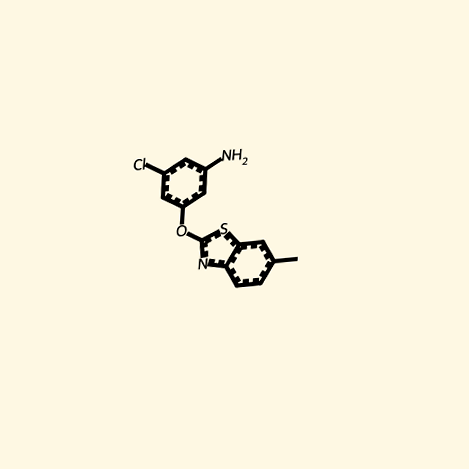 Cc1ccc2nc(Oc3cc(N)cc(Cl)c3)sc2c1